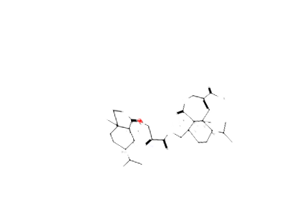 CC(C)[C@H]1CC[C@@](O)(COC(=O)/C(=C/[C@@H]2[C@@H](C(C)C)CCC3(O)COC(=O)[C@@H]23)CO)[C@H]2C(=O)OCC(C(=O)O)=C[C@H]12